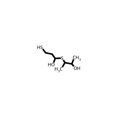 CC(O)C(C)SC(O)CCS